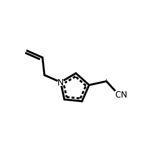 C=CCn1ccc([CH]C#N)c1